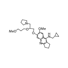 COCCCOC(COc1cc2nc3c(c(NCC4CC4)c2cc1OC)CCC3)CN1CCCC1